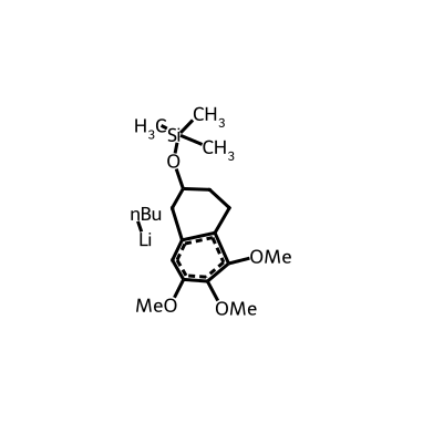 COc1cc2c(c(OC)c1OC)CCC(O[Si](C)(C)C)C2.[Li][CH2]CCC